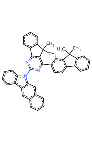 CC1(C)c2ccccc2-c2ccc(-c3nc(-n4c5ccccc5c5cc6ccccc6cc54)nc4c3C(C)(C)c3ccccc3-4)cc21